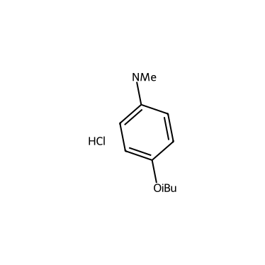 CNc1ccc(OCC(C)C)cc1.Cl